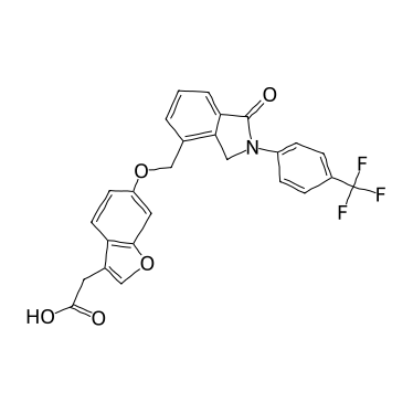 O=C(O)Cc1coc2cc(OCc3cccc4c3CN(c3ccc(C(F)(F)F)cc3)C4=O)ccc12